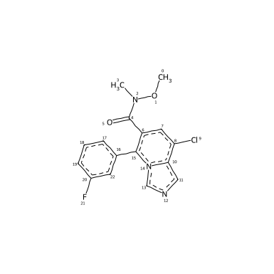 CON(C)C(=O)c1cc(Cl)c2cncn2c1-c1cccc(F)c1